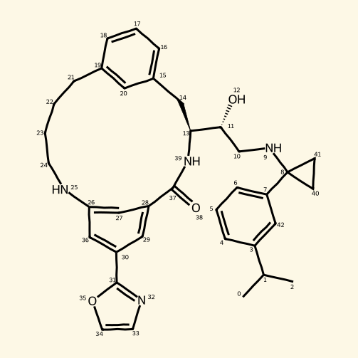 CC(C)c1cccc(C2(NC[C@@H](O)[C@@H]3Cc4cccc(c4)CCCCNc4cc(cc(-c5ncco5)c4)C(=O)N3)CC2)c1